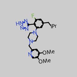 COc1cnc(CN2CCN(c3cc(CC(C)C)cc(F)c3-c3nn[nH]n3)CC2)cc1OC